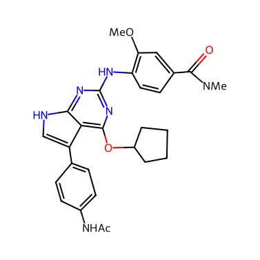 CNC(=O)c1ccc(Nc2nc(OC3CCCC3)c3c(-c4ccc(NC(C)=O)cc4)c[nH]c3n2)c(OC)c1